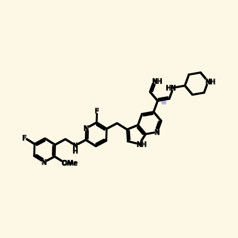 COc1ncc(F)cc1CNc1ccc(Cc2c[nH]c3ncc(/C(C=N)=C/NC4CCNCC4)cc23)c(F)n1